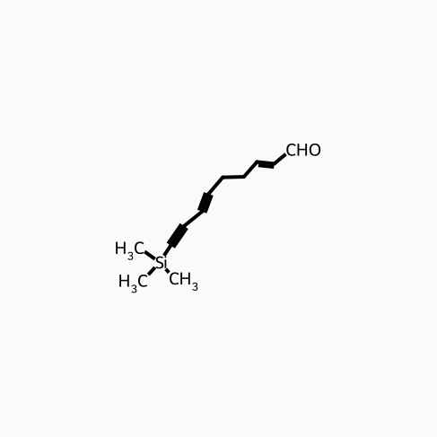 C[Si](C)(C)C#CC#CCCC=CC=O